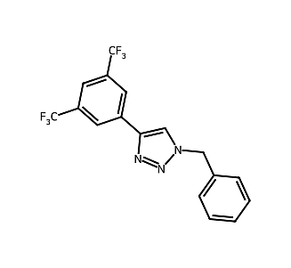 FC(F)(F)c1cc(-c2cn(Cc3ccccc3)nn2)cc(C(F)(F)F)c1